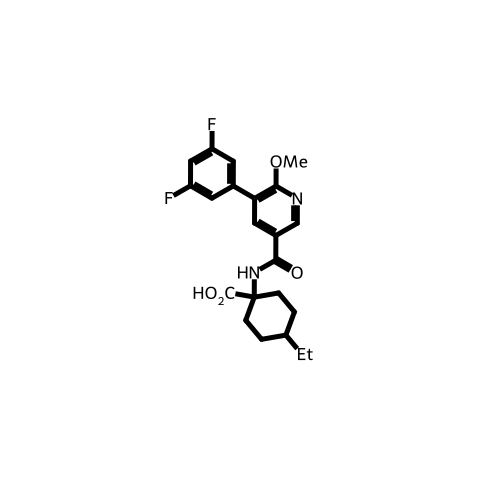 CCC1CCC(NC(=O)c2cnc(OC)c(-c3cc(F)cc(F)c3)c2)(C(=O)O)CC1